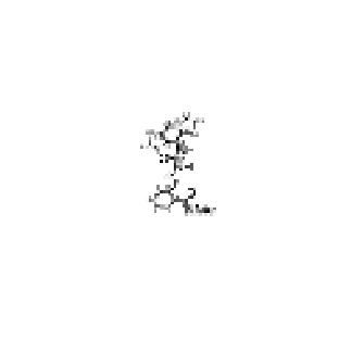 CNC(=O)c1ccccc1SCNC(=O)Nc1c2c(cc3c1CCC3)CCC2